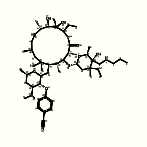 CCCNC[C@]1(O)[C@H](C)O[C@@H](O[C@H]2[C@H](C)[C@@H](O[C@@H]3O[C@H](C)C[C@H](N(C)C)[C@H]3Oc3ccc(C#N)cc3)[C@](C)(O)C[C@@H](C)CN[C@H](C)[C@@H](O)[C@](C)(O)[C@@H](CC)OC(=O)[C@@H]2C)C[C@@]1(C)OC